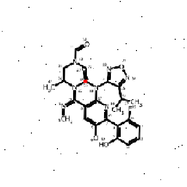 C/N=C(\c1cc(Cl)c(-c2c(O)cccc2F)nc1N(C=O)c1nonc1C(C)C)N1CCN(C=O)CC1C